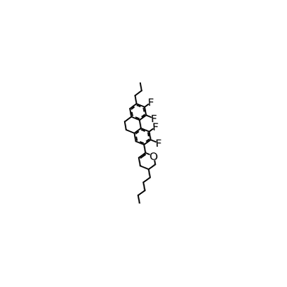 CCCCCC1CC=C(c2cc3c(c(F)c2F)-c2c(cc(CCC)c(F)c2F)CC3)OC1